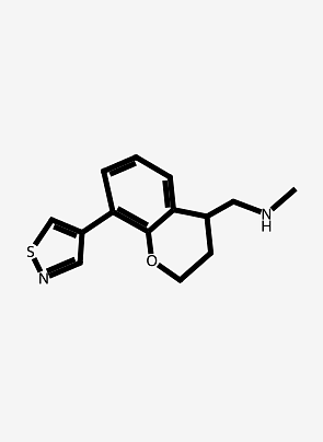 CNCC1CCOc2c(-c3cnsc3)cccc21